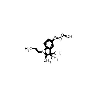 CCC[N+]1=C(C)C(C)(C)c2cc(SOOO)ccc21